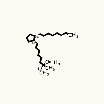 CCCCCCCC[C@H]1CCC[C@@H]1CCCCCCC(C)(OC)OC